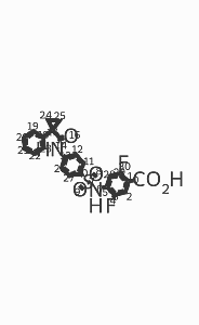 O=C(O)c1cc(F)c(NS(=O)(=O)c2ccc(NC(=O)C3(c4ccccc4)CC3)cc2)cc1F